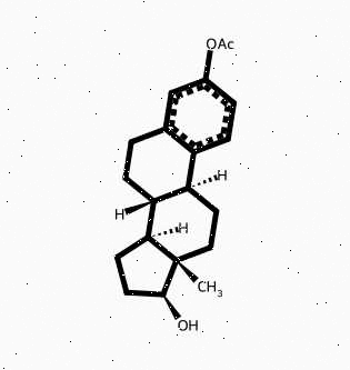 CC(=O)Oc1ccc2c(c1)CC[C@@H]1[C@@H]2CC[C@]2(C)[C@@H](O)CC[C@@H]12